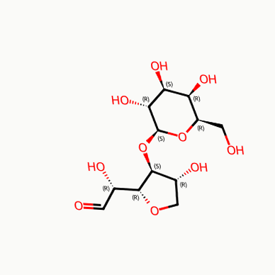 O=C[C@H](O)[C@H]1OC[C@@H](O)[C@@H]1O[C@@H]1O[C@H](CO)[C@H](O)[C@H](O)[C@H]1O